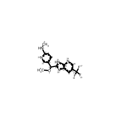 CNc1ccc(C(OC)c2nc3cc(C(F)(F)F)cnc3[nH]2)cn1